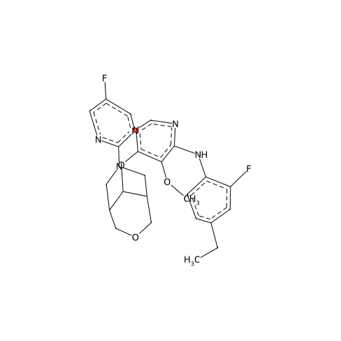 CCc1ccc(Nc2ncnc(OC3C4COCC3CN(c3ncc(F)cn3)C4)c2OC)c(F)c1